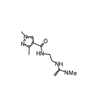 C=C(NC)NCCNC(=O)c1cn(C)nc1C